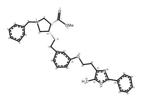 COC(=O)[C@H]1CN(Cc2ccccc2)C[C@H]1CCc1cccc(OCCc2nc(-c3ccccc3)oc2C)c1